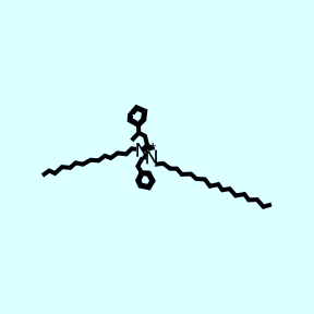 CCCCCCCCCCCCCCCCCCn1cc(CC(C)c2ccccc2)[n+](CCCCCCCCCCCCCC)c1Cc1ccccc1